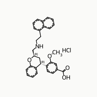 COc1cc(C(=O)O)ccc1[C@H]1C[C@H](CNCCc2cccc3ccccc23)Oc2ccccc21.Cl